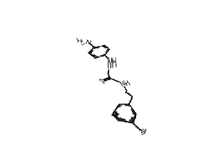 Nc1ccc(NC(=S)NCCc2cccc(Br)c2)cc1